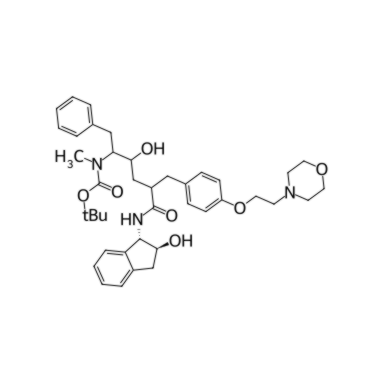 CN(C(=O)OC(C)(C)C)C(Cc1ccccc1)C(O)CC(Cc1ccc(OCCN2CCOCC2)cc1)C(=O)N[C@H]1c2ccccc2C[C@@H]1O